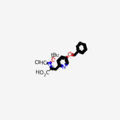 CC(C)(C)ON(C=O)[C@H](Cc1ccc(OCc2ccccc2)cn1)C(=O)O